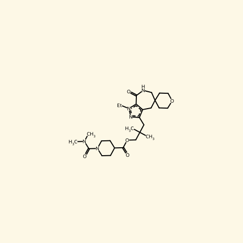 CCn1nc(CC(C)(C)COC(=O)C2CCN(C(=O)N(C)C)CC2)c2c1C(=O)NCC1(CCOCC1)C2